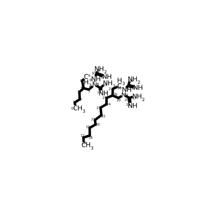 CCCCC(CC)CN(NC(=N)N)C(=N)N.CCCCCCCCCCC(CC)CN(NC(=N)N)C(=N)N